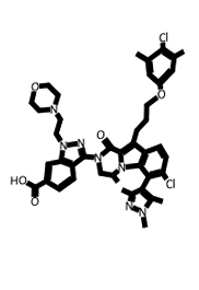 Cc1cc(OCCCc2c3n(c4c(-c5c(C)nn(C)c5C)c(Cl)ccc24)C(C)CN(c2nn(CCN4CCOCC4)c4cc(C(=O)O)ccc24)C3=O)cc(C)c1Cl